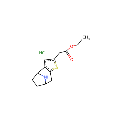 CCOC(=O)Cc1cc2c(s1)CC1CCC2N1.Cl